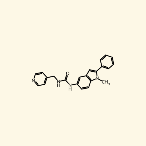 Cn1c(-c2ccccc2)cc2cc(NC(=O)NCc3ccncc3)ccc21